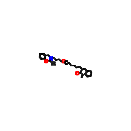 C=CC(=O)C(CCCCCCOCCCCN(Cc1ccccc1)C(=O)CC)Cc1ccccc1